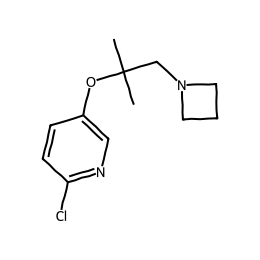 CC(C)(CN1CCC1)Oc1ccc(Cl)nc1